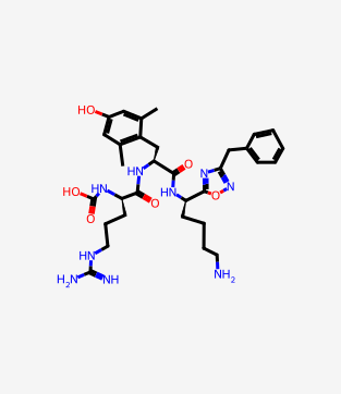 Cc1cc(O)cc(C)c1C[C@H](NC(=O)[C@@H](CCCNC(=N)N)NC(=O)O)C(=O)N[C@H](CCCCN)c1nc(Cc2ccccc2)no1